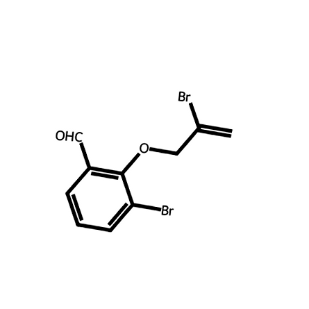 C=C(Br)COc1c(Br)cccc1C=O